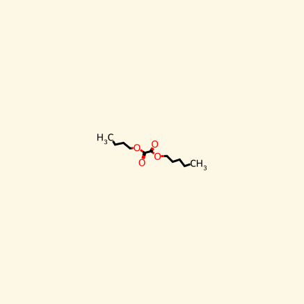 CCCCCOC(=O)C(=O)OCCCC